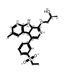 CCS(=O)(=O)c1cccc(C2=CN=C(OC[C@H](C)O)C3Nc4ncc(C)cc4C23)c1